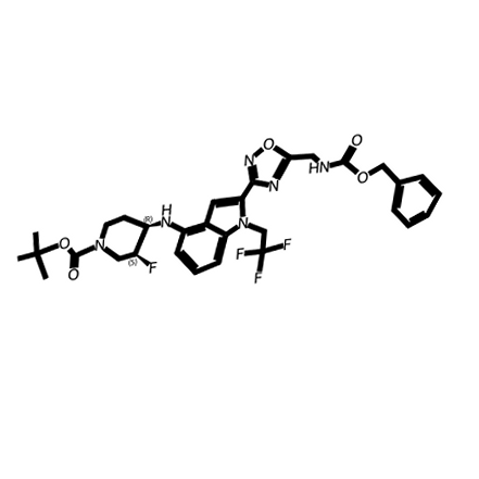 CC(C)(C)OC(=O)N1CC[C@@H](Nc2cccc3c2cc(-c2noc(CNC(=O)OCc4ccccc4)n2)n3CC(F)(F)F)[C@@H](F)C1